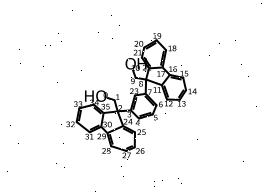 OCC1(c2cccc(C3(CO)c4ccccc4-c4ccccc43)c2)c2ccccc2-c2ccccc21